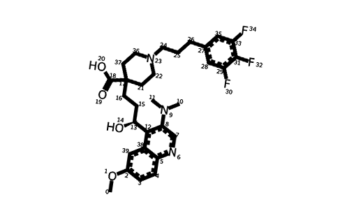 COc1ccc2ncc(N(C)C)c([C@@H](O)CCC3(C(=O)O)CCN(CCCc4cc(F)c(F)c(F)c4)CC3)c2c1